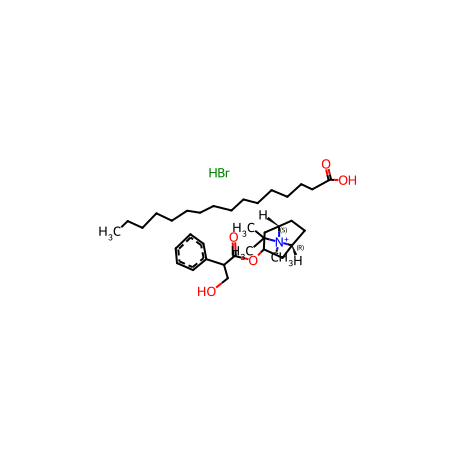 Br.CC(C)[N+]1(C)[C@@H]2CC[C@H]1CC(OC(=O)C(CO)c1ccccc1)C2.CCCCCCCCCCCCCCCC(=O)O